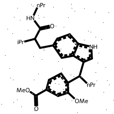 CCCNC(=O)C(Cc1ccc2[nH]cc(C(CCC)c3ccc(C(=O)OC)cc3OC)c2c1)C(C)C